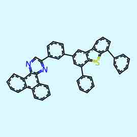 c1ccc(-c2cccc3c2sc2c(-c4ccccc4)cc(-c4cccc(-c5cnc6c7ccccc7c7ccccc7c6n5)c4)cc23)cc1